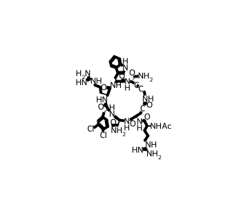 CC(=O)N[C@@H](CCCNC(=N)N)C(=O)N[C@H]1CCC(=O)NCCC[C@@H](C(N)=O)NC(=O)[C@H](Cc2c[nH]c3ccccc23)NC(=O)[C@H](CCCNC(=N)N)NC(=O)[C@@H](Cc2ccc(Cl)c(Cl)c2)NC(=O)[C@H](CCN)NC1=O